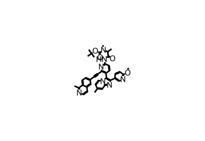 COc1ccc(-c2nc3cc(C)ccn3c2-c2ccc(NC(=O)C(C)N(C)C(=O)OC(C)(C)C)nc2C#Cc2ccc3c(C)nccc3c2)cn1